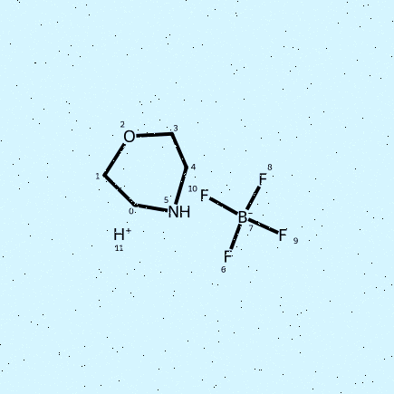 C1COCCN1.F[B-](F)(F)F.[H+]